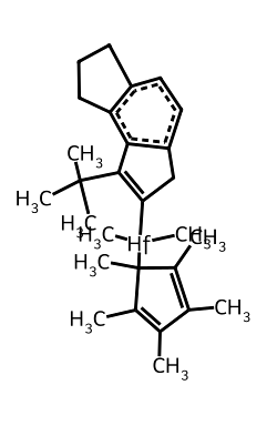 CC1=C(C)[C](C)([Hf]([CH3])([CH3])[C]2=C(C(C)(C)C)c3c(ccc4c3CCC4)C2)C(C)=C1C